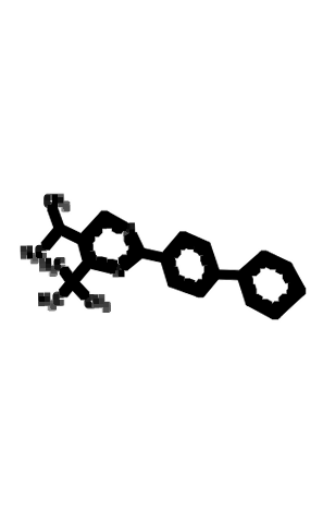 CC(C)c1cnc(-c2ccc(-c3ccccc3)cc2)nc1C(C)(C)C